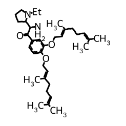 CCN1CCCC1C(N)C(=O)c1ccc(OC/C=C(\C)CCC=C(C)C)c(OC/C=C(\C)CCC=C(C)C)c1